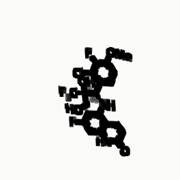 COc1ccc([C@H](Nc2cc(F)cc3[nH]c(=O)ccc23)[C@](O)(CO)C(F)(F)F)c(Cl)c1F